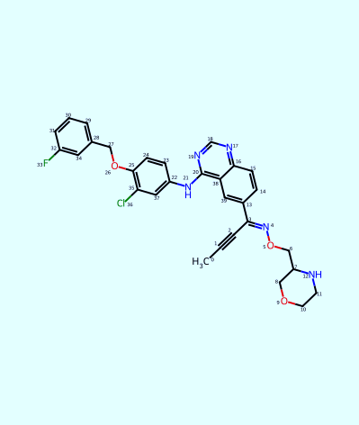 CC#C/C(=N\OCC1COCCN1)c1ccc2ncnc(Nc3ccc(OCc4cccc(F)c4)c(Cl)c3)c2c1